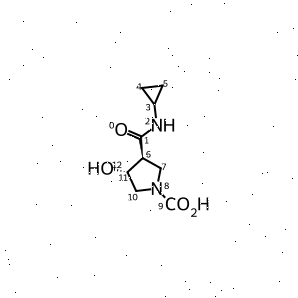 O=C(NC1CC1)[C@H]1CN(C(=O)O)C[C@@H]1O